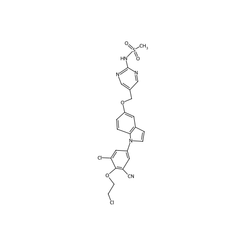 CS(=O)(=O)Nc1ncc(COc2ccc3c(ccn3-c3cc(Cl)c(OCCCl)c(C#N)c3)c2)cn1